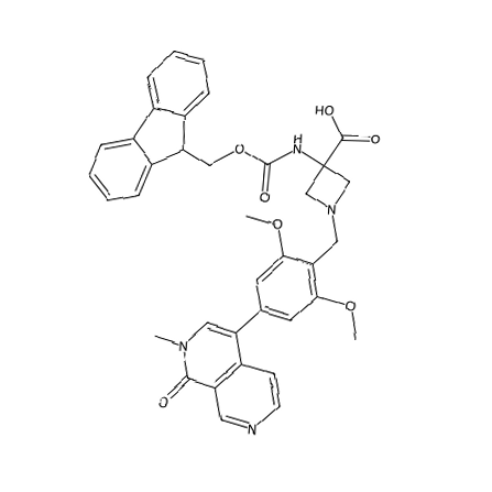 COc1cc(-c2cn(C)c(=O)c3cnccc23)cc(OC)c1CN1CC(NC(=O)OCC2c3ccccc3-c3ccccc32)(C(=O)O)C1